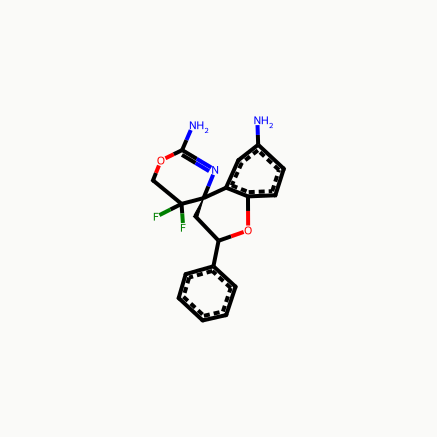 NC1=N[C@@]2(CC(c3ccccc3)Oc3ccc(N)cc32)C(F)(F)CO1